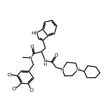 CN(Cc1cc(Cl)c(Cl)c(Cl)c1)C(=O)C(Cc1c[nH]c2ccccc12)NC(=O)CN1CCN(C2CCCCC2)CC1